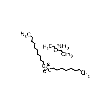 CCCCCCCCCCOS(=O)(=O)OCCCCCCCC.CCOCC.N